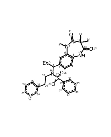 CCC(c1ccc2c(c1)N(C)C(=O)C(C)(C)C(=O)N2)N(CCc1cccnc1)S(=O)(=O)c1ccccc1